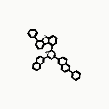 c1ccc(-c2ccc3cc(C4=NC(c5cccc6oc7c(-c8ccccc8)cccc7c56)NC(c5ccc6ccccc6c5)=N4)ccc3c2)cc1